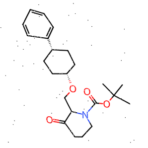 CC(C)(C)OC(=O)N1CCCC(=O)C1CO[C@H]1CC[C@@H](c2ccccc2)CC1